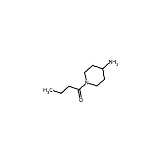 CCCC(=O)N1CCC(N)CC1